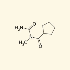 CN(C(N)=O)C(=O)C1CCCC1